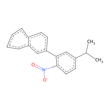 CC(C)c1ccc([N+](=O)[O-])c(-c2ccc3ccccc3c2)c1